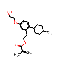 C=C(C)C(=O)OCCc1cc(OCCO)ccc1C1CCC(C)CC1